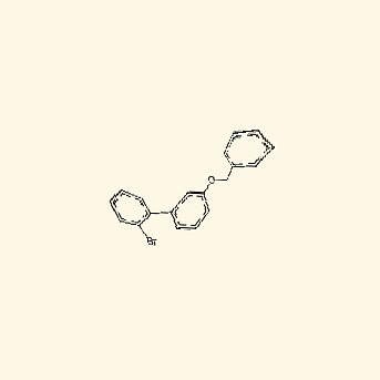 Brc1ccccc1-c1cccc(OCc2ccccc2)c1